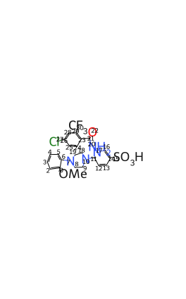 COc1ccccc1N1CCN(c2ccc(S(=O)(=O)O)cn2)CC1.NC(=O)c1ccc(Cl)cc1C(F)(F)F